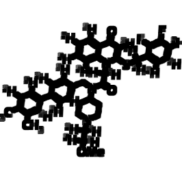 [2H]c1c([2H])c(F)c(F)c(C([2H])([2H])Sc2c([2H])c(=O)c3c([2H])c([2H])c([2H])c([2H])c3n2C([2H])([2H])C(=O)N(Cc2c([2H])c([2H])c(-c3c([2H])c([2H])c(C(F)(F)F)c(C)c3[2H])c([2H])c2[2H])C2CCN(C([2H])([2H])C([2H])([2H])OC)CC2)c1[2H]